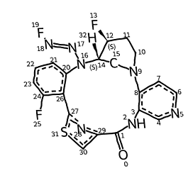 O=C1Nc2cnccc2N2CC[C@H](F)[C@H](C2)N(N=NF)c2cccc(F)c2-c2nc1cs2